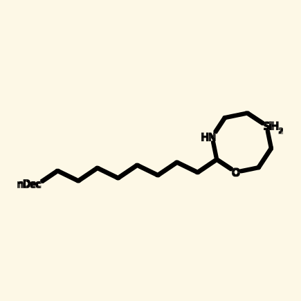 CCCCCCCCCCCCCCCCCCC1NCC[SiH2]CCO1